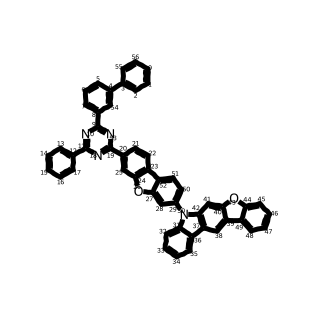 c1ccc(-c2cccc(-c3nc(-c4ccccc4)nc(-c4ccc5c(c4)oc4cc(-n6c7ccccc7c7cc8c(cc76)oc6ccccc68)ccc45)n3)c2)cc1